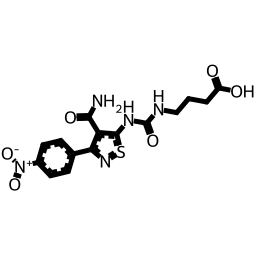 NC(=O)c1c(-c2ccc([N+](=O)[O-])cc2)nsc1NC(=O)NCCCC(=O)O